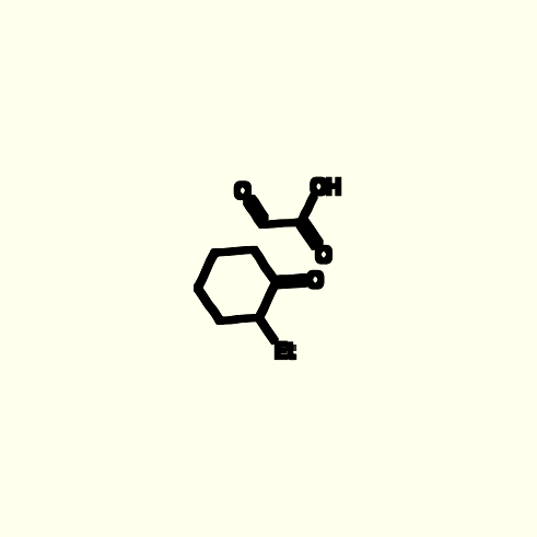 CCC1CCCCC1=O.O=CC(=O)O